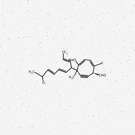 CO/C1=C/C=C(/F)[C@@H](C=O)C#CC1(C)C(/C=C/C=C/C(C)Cl)/C=C/C(F)(F)F